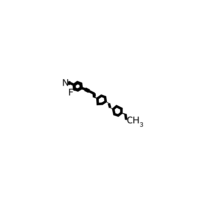 CCC[C@H]1CC[C@H](CC[C@H]2CC[C@H](C=CC#Cc3ccc(C#N)c(F)c3)CC2)CC1